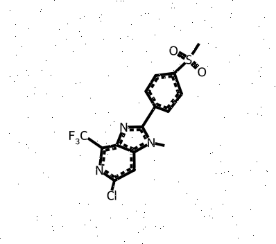 Cn1c(-c2ccc(S(C)(=O)=O)cc2)nc2c(C(F)(F)F)nc(Cl)cc21